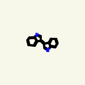 C1=Nc2ccccc2C1=C1C=Nc2ccccc21